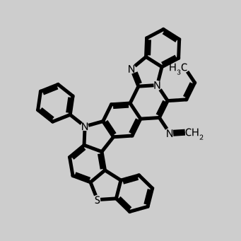 C=Nc1c(/C=C\C)n2c3ccccc3nc2c2cc3c(cc12)c1c2c(ccc1n3-c1ccccc1)sc1ccccc12